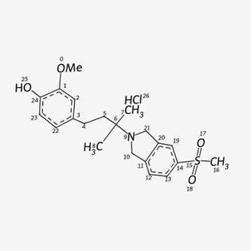 COc1cc(CCC(C)(C)N2Cc3ccc(S(C)(=O)=O)cc3C2)ccc1O.Cl